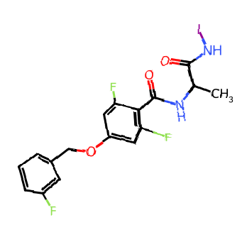 CC(NC(=O)c1c(F)cc(OCc2cccc(F)c2)cc1F)C(=O)NI